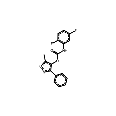 Cc1onc(-c2ccccc2)c1OC(=O)Nc1cc(F)ccc1F